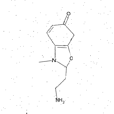 CN1C2=C(CC(=O)C=C2)OC1CCN